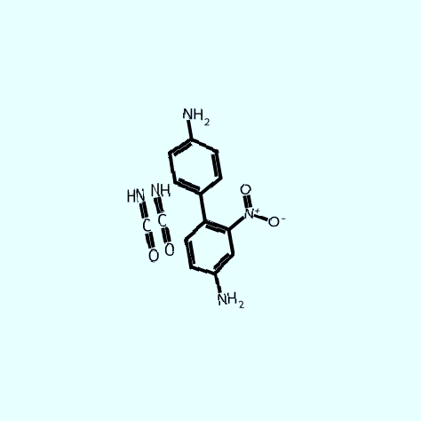 N=C=O.N=C=O.Nc1ccc(-c2ccc(N)cc2[N+](=O)[O-])cc1